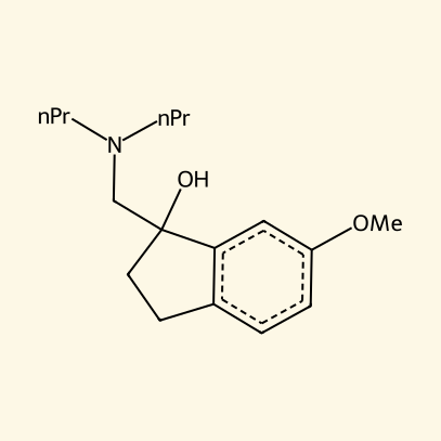 CCCN(CCC)CC1(O)CCc2ccc(OC)cc21